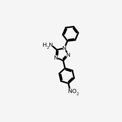 Nc1nc(-c2ccc([N+](=O)[O-])cc2)nn1-c1ccccc1